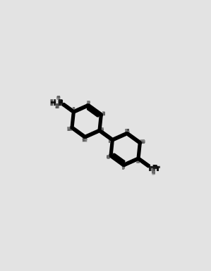 BC1C=CC(C2C=CC(CCC)CC2)CC1